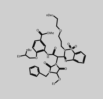 CCCCCCCCCCCCOCCCN1C(C(C(=O)Nc2cc(C(=O)OC)ccc2OCC(CC)CCCC)N2C(=O)C(OCC)N(Cc3ccccc3)C2=O)=Nc2ccccc2S1(=O)=O